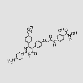 Cl.Cn1c(N2CCC(N)CC2)nc(-c2ccc(C#N)cc2)c(-c2ccc(OCC(=O)Nc3ccc(C(=O)NO)c(O)c3)cc2)c1=O